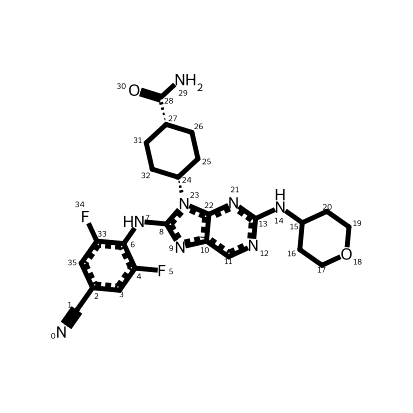 N#Cc1cc(F)c(Nc2nc3cnc(NC4CCOCC4)nc3n2[C@H]2CC[C@@H](C(N)=O)CC2)c(F)c1